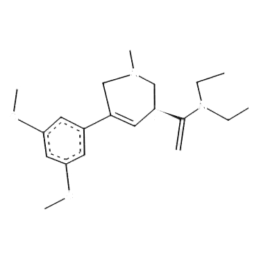 C=C([C@H]1C=C(c2cc(OC)cc(OC)c2)CN(C)C1)N(CC)CC